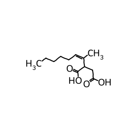 CCCCCC=C(C)C(CC(=O)O)C(=O)O